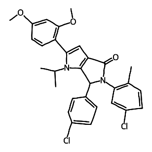 COc1ccc(-c2cc3c(n2C(C)C)C(c2ccc(Cl)cc2)N(c2cc(Cl)ccc2C)C3=O)c(OC)c1